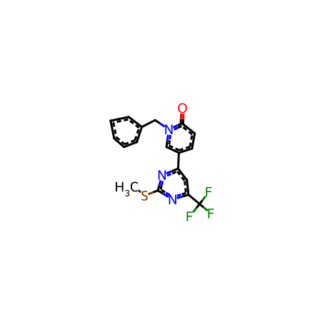 CSc1nc(-c2ccc(=O)n(Cc3ccccc3)c2)cc(C(F)(F)F)n1